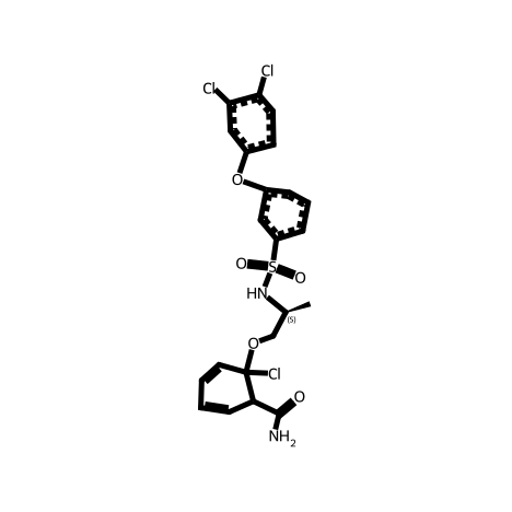 C[C@@H](COC1(Cl)C=CC=CC1C(N)=O)NS(=O)(=O)c1cccc(Oc2ccc(Cl)c(Cl)c2)c1